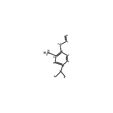 C=CSc1ccc(C(C)C)cc1N